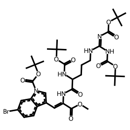 COC(=O)/C(=C/c1cn(C(=O)OC(C)(C)C)c2cc(Br)ccc12)NC(=O)C(CCCN/C(=N/C(=O)OC(C)(C)C)NC(=O)OC(C)(C)C)NC(=O)OC(C)(C)C